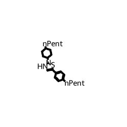 CCCCCc1ccc(C2=CNN(C3CCC(CCCCC)CC3)S2)cc1